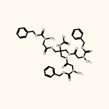 CCC(=O)NC(COC(=O)CN(C)C(=O)OCc1ccccc1)(COC(=O)CN(C)C(=O)OCc1ccccc1)COC(=O)CN(C)C(=O)OCc1ccccc1